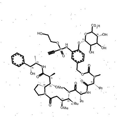 C#CP(=O)(Nc1cc(COC(=O)N(C)[C@@H](C(=O)N[C@@H](C(=O)N(C)[C@H]([C@H](C)CC)[C@H](CC(=O)N2CCC[C@@H]2[C@@H](OC)[C@H](C)C(=O)N[C@@H](C)[C@H](O)c2ccccc2)OC)C(C)C)C(C)C)ccc1O[C@@H]1OC(C(=O)O)[C@H](O)C(O)C1O)OCCO